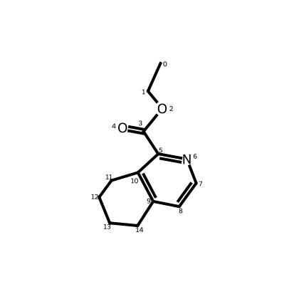 CCOC(=O)c1nccc2c1CCCC2